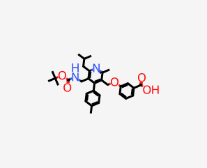 Cc1ccc(-c2c(COc3cccc(C(=O)O)c3)c(C)nc(CC(C)C)c2CNC(=O)OC(C)(C)C)cc1